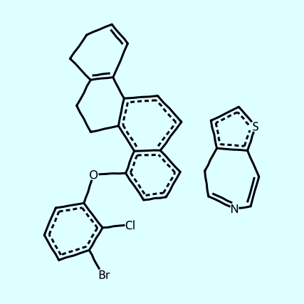 C1=Cc2sccc2CC=N1.Clc1c(Br)cccc1Oc1cccc2ccc3c(c12)CCC1=C3C=CCC1